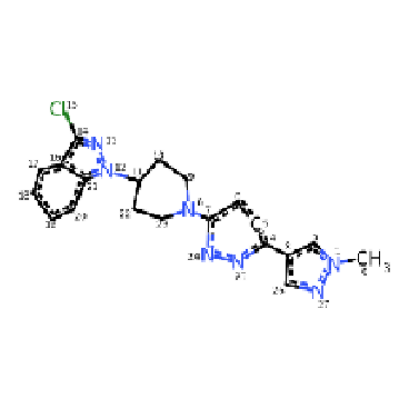 Cn1cc(-c2ccc(N3CCC(n4nc(Cl)c5ccccc54)CC3)nn2)cn1